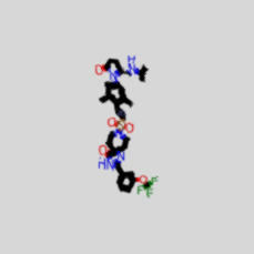 Cc1cc(N2C(=O)CC[C@@H]2CNC(C)C)cc(C)c1/C=C/S(=O)(=O)N1CCC2(CC1)N=C(c1cccc(OC(F)(F)F)c1)NC2=O